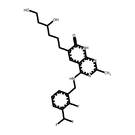 Cc1nc(NCc2cccc(C(F)F)c2F)c2cc(CCCC(O)CCO)c(=O)[nH]c2n1